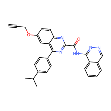 C#CCOc1ccc2nc(C(=O)Nc3nncc4ccccc34)nc(-c3ccc(C(C)C)cc3)c2c1